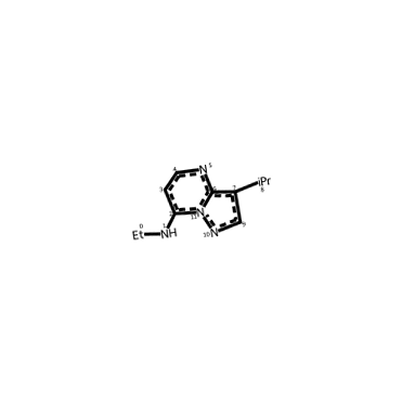 CCNc1ccnc2c(C(C)C)cnn12